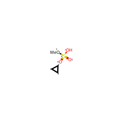 C1CC1.COS(=O)(=O)O